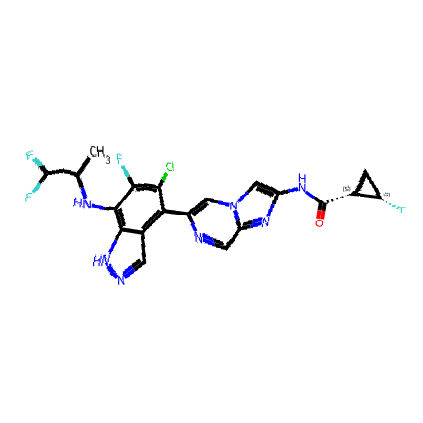 CC(Nc1c(F)c(Cl)c(-c2cn3cc(NC(=O)[C@@H]4C[C@@H]4F)nc3cn2)c2cn[nH]c12)C(F)F